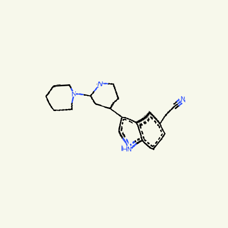 N#Cc1ccc2[nH]cc(C3CC[N]C(N4CCCCC4)C3)c2c1